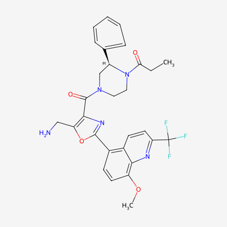 CCC(=O)N1CCN(C(=O)c2nc(-c3ccc(OC)c4nc(C(F)(F)F)ccc34)oc2CN)C[C@H]1c1ccccc1